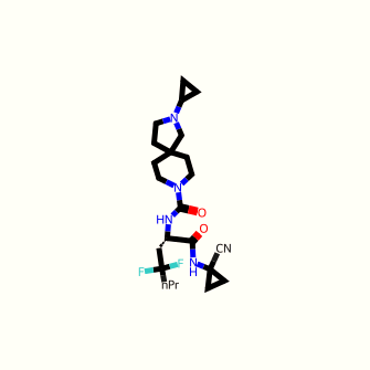 CCCC(F)(F)C[C@H](NC(=O)N1CCC2(CC1)CCN(C1CC1)C2)C(=O)NC1(C#N)CC1